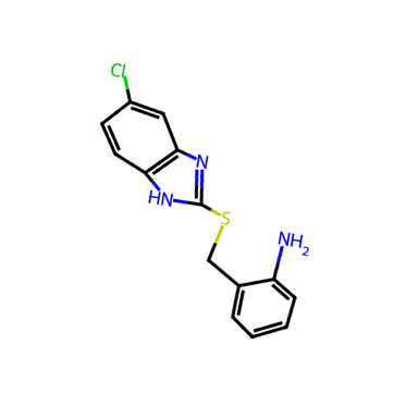 Nc1ccccc1CSc1nc2cc(Cl)ccc2[nH]1